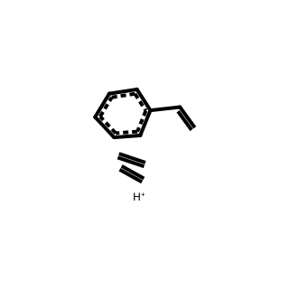 C=C.C=C.C=Cc1ccccc1.[H+]